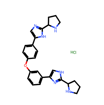 Cl.c1cc(Oc2ccc(-c3cnc(C4CCCN4)[nH]3)cc2)cc(-c2c[nH]c(C3CCCN3)n2)c1